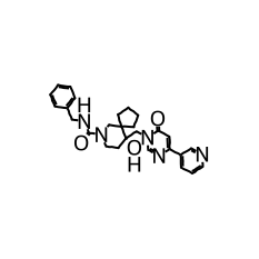 O=C(NCc1ccccc1)N1CCC(O)(Cn2cnc(-c3cccnc3)cc2=O)C2(CCCC2)C1